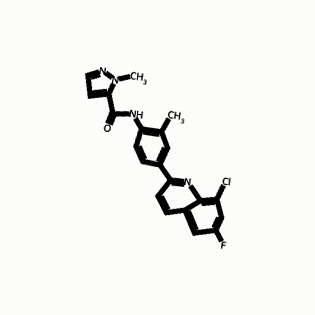 Cc1cc(-c2ccc3cc(F)cc(Cl)c3n2)ccc1NC(=O)c1ccnn1C